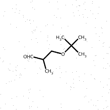 CC(C=O)COC(C)(C)C